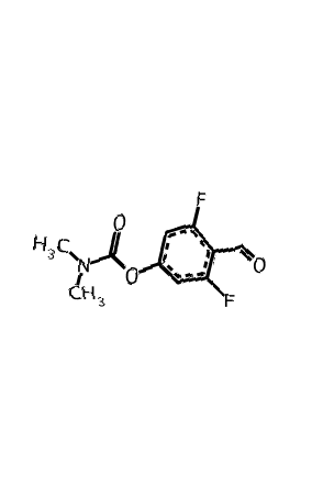 CN(C)C(=O)Oc1cc(F)c(C=O)c(F)c1